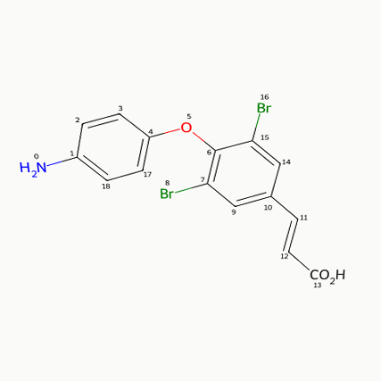 Nc1ccc(Oc2c(Br)cc(C=CC(=O)O)cc2Br)cc1